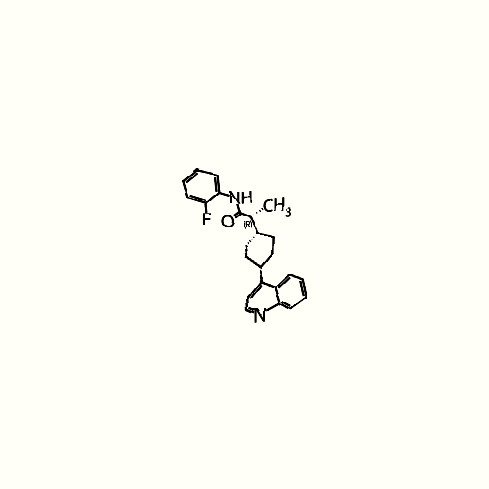 C[C@@H](C(=O)Nc1ccccc1F)[C@H]1CC[C@H](c2ccnc3ccccc32)CC1